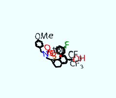 COc1ccc(CN(CC2C3CCc4cc(C(O)(C(F)(F)F)C(F)(F)F)ccc4C32[S+]([O-])c2ccc(F)cc2)C(=O)OC(C)(C)C)cc1